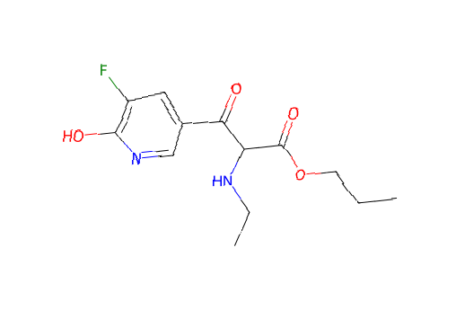 CCCOC(=O)C(NCC)C(=O)c1cnc(O)c(F)c1